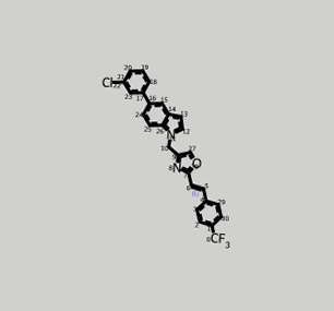 FC(F)(F)c1ccc(/C=C/c2nc(Cn3ccc4cc(-c5cccc(Cl)c5)ccc43)co2)cc1